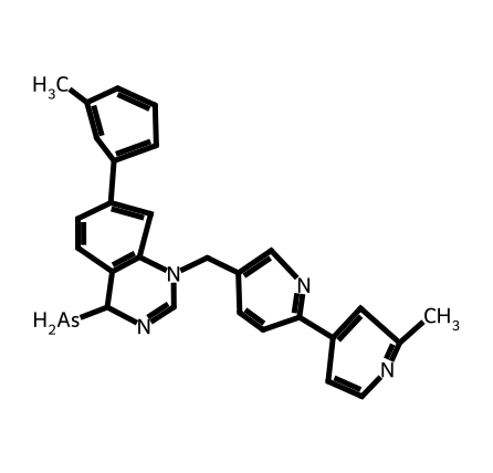 Cc1cccc(-c2ccc3c(c2)N(Cc2ccc(-c4ccnc(C)c4)nc2)C=NC3[AsH2])c1